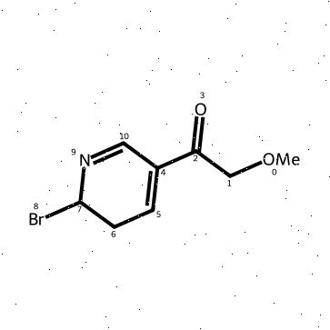 COCC(=O)C1=CCC(Br)N=C1